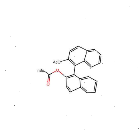 CCCCC(=O)Oc1ccc2ccccc2c1-c1c(OC(C)=O)ccc2ccccc12